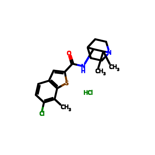 Cc1c(Cl)ccc2cc(C(=O)NC3C4CCN(CC4)C3(C)C)sc12.Cl